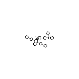 c1ccc(-c2ccc(-c3c4ccccc4c(-c4ccc(-c5ccccc5)cc4)c4c3nc3ccc(-c5ccc(-c6nc7ccccc7n6-c6ccccc6)cc5)cn34)cc2)cc1